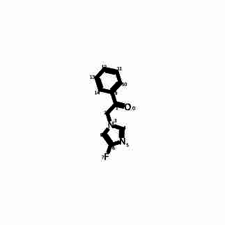 O=C(Cn1cnc(F)c1)c1ccccc1